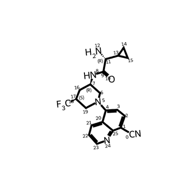 N#Cc1ccc(N2C[C@H](NC(=O)[C@H](N)C3CC3)C[C@H](C(F)(F)F)C2)c2cccnc12